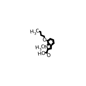 CCCCOc1cccc2cc(C(=O)O)n(C)c12